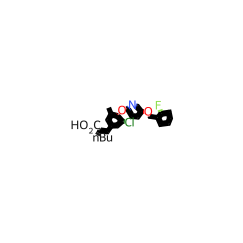 CCCCC(=Cc1cc(C)c(Oc2ccc(OCc3ccccc3F)cn2)c(Cl)c1)C(=O)O